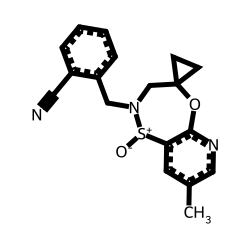 Cc1cnc2c(c1)[S+]([O-])N(Cc1ccccc1C#N)CC1(CC1)O2